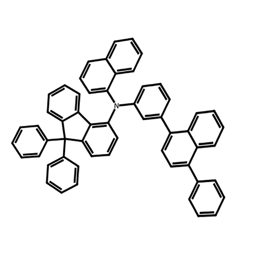 c1ccc(-c2ccc(-c3cccc(N(c4cccc5c4-c4ccccc4C5(c4ccccc4)c4ccccc4)c4cccc5ccccc45)c3)c3ccccc23)cc1